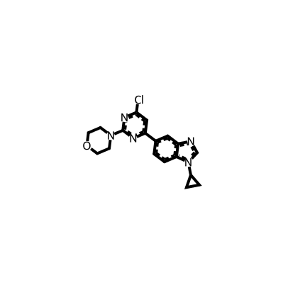 Clc1cc(-c2ccc3c(c2)ncn3C2CC2)nc(N2CCOCC2)n1